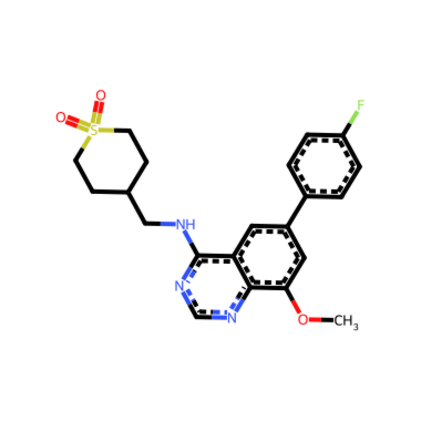 COc1cc(-c2ccc(F)cc2)cc2c(NCC3CCS(=O)(=O)CC3)ncnc12